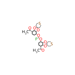 CC(=O)c1ccc(OC(F)Oc2ccc(C(C)=O)c3c2OC2(CCSCC2)O3)c2c1OC1(CCSCC1)O2